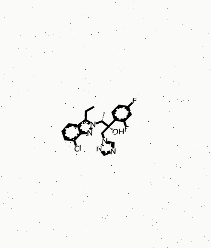 CCc1c2cccc(Cl)c2nn1[C@H](C)[C@](O)(Cn1cncn1)c1ccc(F)cc1F